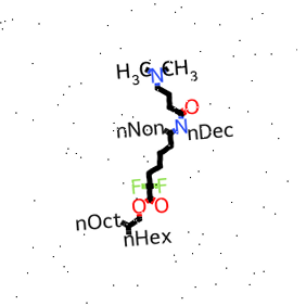 CCCCCCCCCCN(C(=O)CCCN(C)C)C(CCCCCCCCC)CCCCC(F)(F)C(=O)OCC(CCCCCC)CCCCCCCC